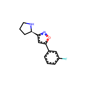 Fc1cccc(-c2cc([C@H]3CCCN3)no2)c1